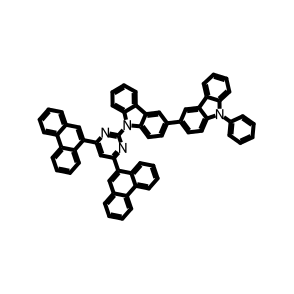 c1ccc(-n2c3ccccc3c3cc(-c4ccc5c(c4)c4ccccc4n5-c4nc(-c5cc6ccccc6c6ccccc56)cc(-c5cc6ccccc6c6ccccc56)n4)ccc32)cc1